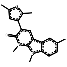 Cc1ccc2c(c1)c1cc(-c3cc(C)sc3C)c(=O)n(C)c1n2C